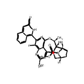 CSc1nc2c3c(nc(-c4[nH]c(=O)cc5ccccc45)c(F)c3n1)O[C@@H](C)[C@@H]1[C@@H]3CC[C@H](CN21)N3C(=O)OC(C)(C)C